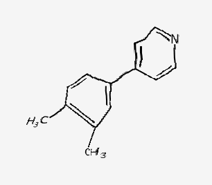 Cc1ccc(-c2ccncc2)cc1C